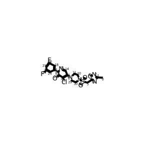 Cc1noc(CS(=O)(=O)N2CCN(c3cnn(-c4cc(F)cc(F)c4)c(=O)c3Cl)CC2)n1